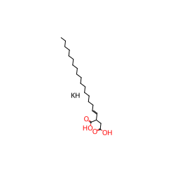 CCCCCCCCCCCCCCCCC=CC(CC(=O)O)C(=O)O.[KH]